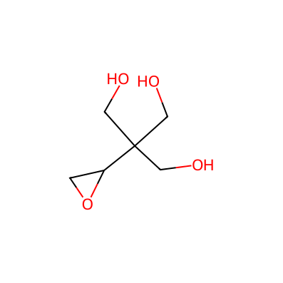 OCC(CO)(CO)C1CO1